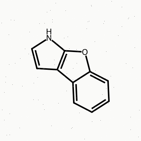 c1ccc2c(c1)oc1[nH]ccc12